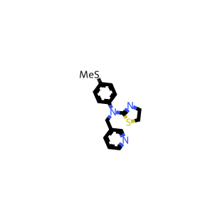 CSc1ccc(N(Cc2cccnc2)C2=NCCS2)cc1